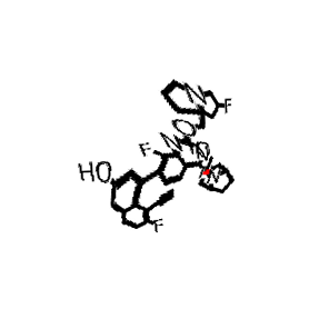 C#Cc1c(F)ccc2cc(O)cc(-c3ccc4c(N5CC6CCC(C5)N6CCO)nc(OCC56CCCN5CC(F)C6)nc4c3F)c12